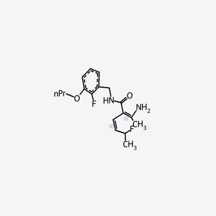 CCCOc1cccc(CNC(=O)C(/C=C\C(C)F)=C(/C)N)c1F